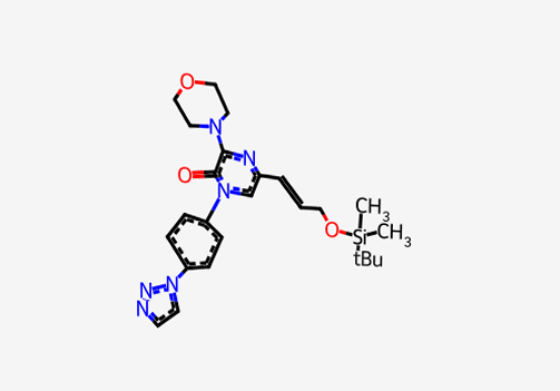 CC(C)(C)[Si](C)(C)OC/C=C/c1cn(-c2ccc(-n3ccnn3)cc2)c(=O)c(N2CCOCC2)n1